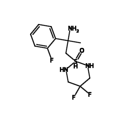 CC(N)(C[SH]1(=O)NCC(F)(F)CN1)c1ccccc1F